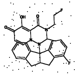 CC1N(CCF)C(=O)c2c(O)c(=O)ccn2N1C12c3ccccc3CC1Cc1c(F)cccc12